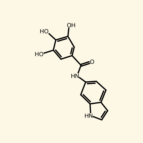 O=C(Nc1ccc2cc[nH]c2c1)c1cc(O)c(O)c(O)c1